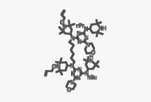 C=CCON1C(C)(C)CC(N(CCCCCCN(c2nc(N3CCOCC3)nc(N(CCCC)C3CC(C)(C)NC(C)(C)C3)n2)C2CC(C)(C)N(OCC=C)C(C)(C)C2)c2nc(N3CCOCC3)nc(N(CCC)C3CC(C)(C)NC(C)(C)C3)n2)CC1(C)C